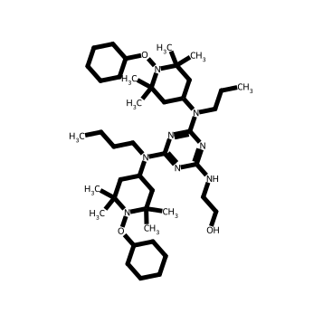 CCCCN(c1nc(NCCO)nc(N(CCC)C2CC(C)(C)N(OC3CCCCC3)C(C)(C)C2)n1)C1CC(C)(C)N(OC2CCCCC2)C(C)(C)C1